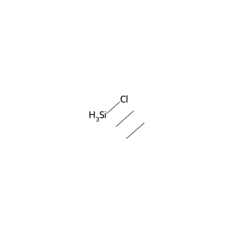 CC.CC.[SiH3]Cl